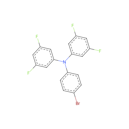 Fc1cc(F)cc(N(c2ccc(Br)cc2)c2cc(F)cc(F)c2)c1